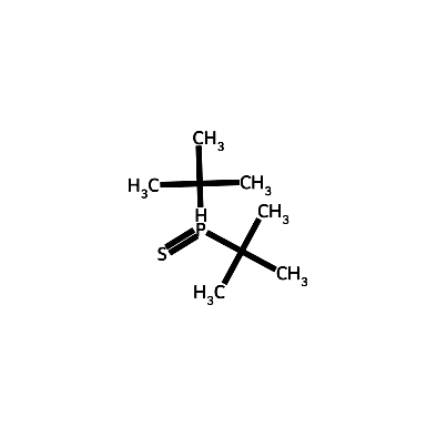 CC(C)(C)[PH](=S)C(C)(C)C